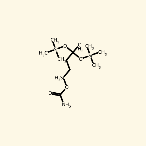 CC(CC[SiH2]OC(N)=O)(O[Si](C)(C)C)O[Si](C)(C)C